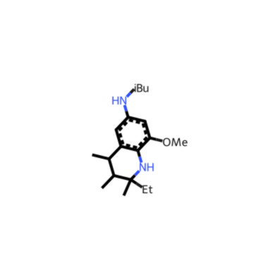 CCC(C)Nc1cc(OC)c2c(c1)C(C)C(C)C(C)(CC)N2